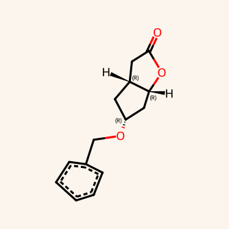 O=C1C[C@H]2C[C@@H](OCc3ccccc3)C[C@H]2O1